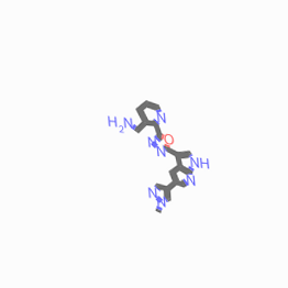 Cn1cc(-c2cnc3[nH]cc(-c4nnc(-c5ncccc5CN)o4)c3c2)cn1